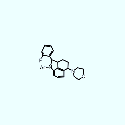 CC(=O)N1c2cccc3c2C(CCC3N2CCOCC2)C1c1ccccc1F